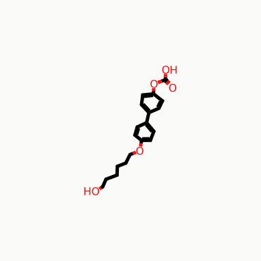 O=C(O)Oc1ccc(-c2ccc(OCCCCCCO)cc2)cc1